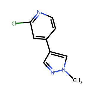 Cn1cc(-c2ccnc(Cl)c2)cn1